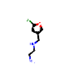 NCCNCc1coc(Br)c1